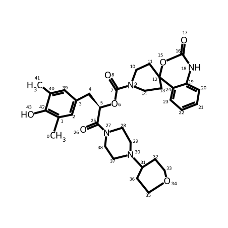 Cc1cc(C[C@@H](OC(=O)N2CCC3(CC2)OC(=O)Nc2ccccc23)C(=O)N2CCN(C3CCOCC3)CC2)cc(C)c1O